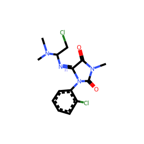 CN1C(=O)/C(=N\C(CCl)N(C)C)N(c2ccccc2Cl)C1=O